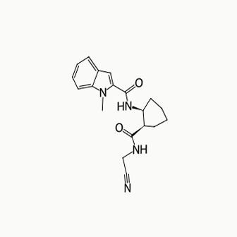 Cn1c(C(=O)N[C@H]2CCCC[C@H]2C(=O)NCC#N)cc2ccccc21